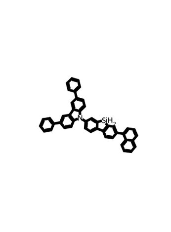 c1ccc(-c2ccc3c(c2)c2cc(-c4ccccc4)ccc2n3-c2ccc3c(c2)[SiH2]c2cc(-c4cccc5ccccc45)ccc2-3)cc1